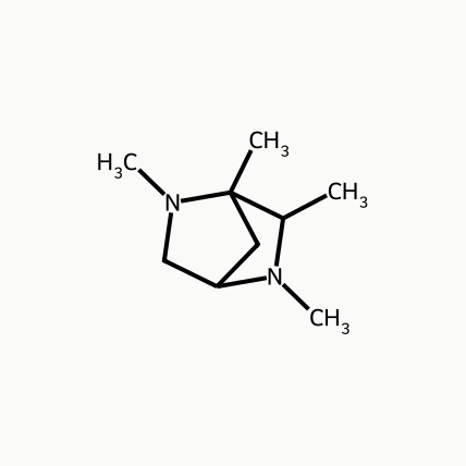 CC1N(C)C2CN(C)C1(C)C2